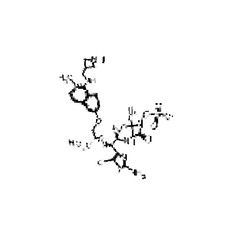 C[n+]1ccc2cc(OC[C@H](O/N=C(\C(=O)N[C@@H]3C(=O)N(OS(=O)(=O)[O-])C3(C)C)c3nc(N)sc3Cl)C(=O)O)ccc2c1NCC1CNC1